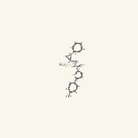 O=C(O)[C@@]1(NS(=O)(=O)c2ccc(-c3ccc(Cl)cc3)s2)C[C@H]1c1ccccc1